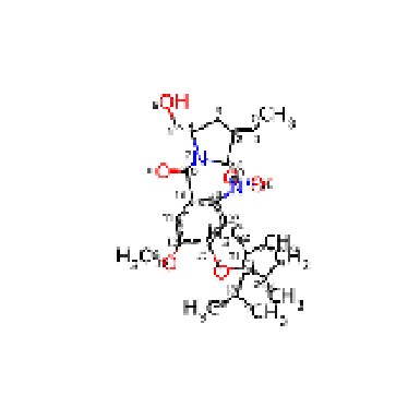 C/C=C1\C[C@@H](CO)N(C(=O)c2cc(OC)c(O[Si](C(C)C)(C(C)C)C(C)C)cc2[N+](=O)[O-])C1